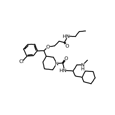 CCCNC(=O)CCOC(c1cccc(Cl)c1)C1CCCN(C(=O)NC(CNC)CC2CCCCC2)C1